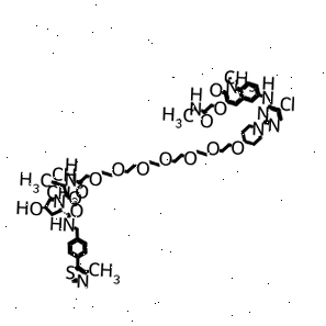 CNC(=O)COc1cc2cc(Nc3nc(N4CCC(OCCOCCOCCOCCOCCOCCOCC(=O)N[C@H](C(=O)N5C[C@H](O)C[C@H]5C(=O)NCc5ccc(-c6scnc6C)cc5)C(C)(C)C)CC4)ncc3Cl)ccc2n(C)c1=O